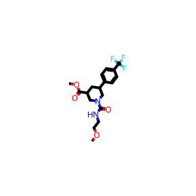 COCCNC(=O)N1CC(C(=O)OC)CC(c2ccc(C(F)(F)F)cc2)C1